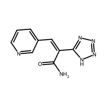 NC(=O)C(=Cc1cccnc1)c1nnn[nH]1